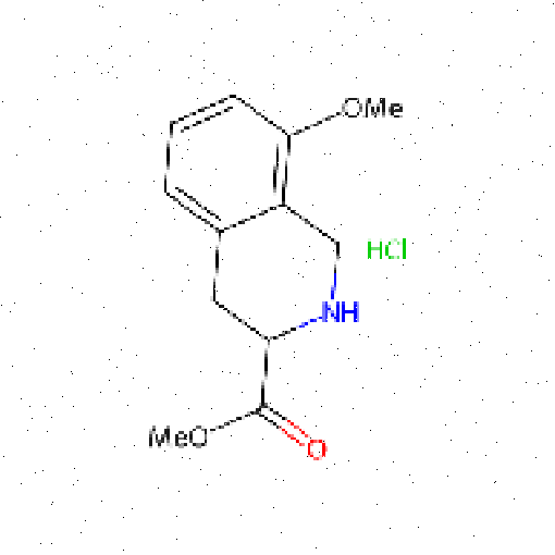 COC(=O)C1Cc2cccc(OC)c2CN1.Cl